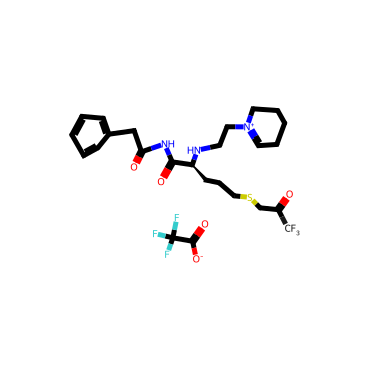 O=C(Cc1ccccc1)NC(=O)[C@H](CCCSCC(=O)C(F)(F)F)NCC[N+]1=CCCCC1.O=C([O-])C(F)(F)F